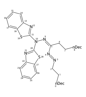 CCCCCCCCCCCCN=NC(CCCCCCCCCCCC)=NN(c1nc2ccccc2s1)c1nc2ccccc2s1